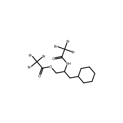 O=C(NC(COC(=O)C(Br)(Br)Br)CC1CCCCC1)C(Br)(Br)Br